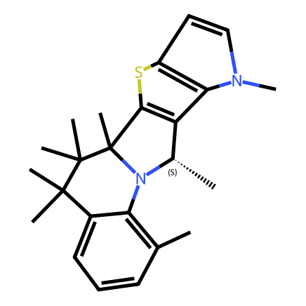 Cc1cccc2c1N1[C@@H](C)c3c(sc4ccn(C)c34)C1(C)C(C)(C)C2(C)C